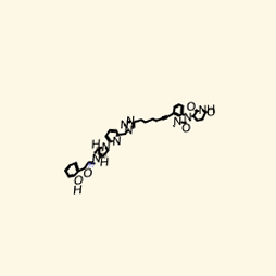 Cn1c(=O)n(C2CCC(=O)NC2=O)c2cccc(C#CCCCCc3cn(Cc4cccc(N5C[C@H]6C[C@@H]5CN6/C=C/C(=O)c5ccccc5O)n4)nn3)c21